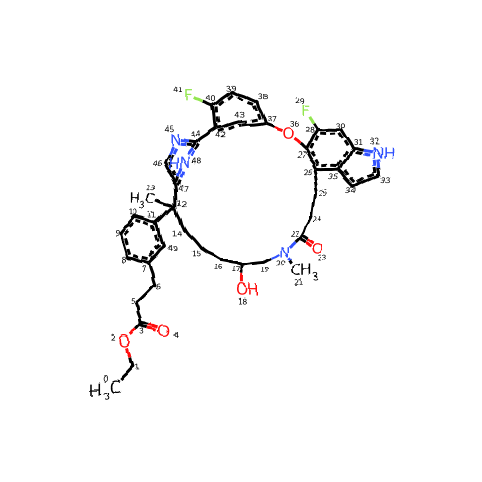 CCOC(=O)CCc1cccc(C2(C)CCCC(O)CN(C)C(=O)CCc3c(c(F)cc4[nH]ccc34)Oc3ccc(F)c(c3)-c3ncc2[nH]3)c1